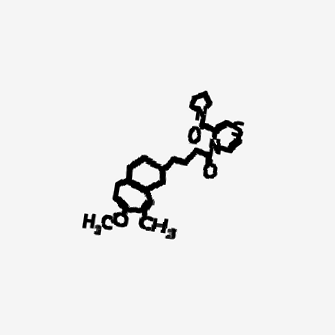 COC1=CCC2=C(C=C1C)CC(CCCC(=O)N1C=CSC=C1C(=O)N1CCCC1)CC2